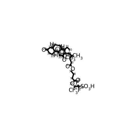 C[C@H](CCC(=O)OCCCC(=O)OC(C(F)(F)F)C(F)(F)S(=O)(=O)O)[C@H]1CC[C@H]2[C@@H]3CC[C@@H]4CC(=O)CC[C@]4(C)[C@H]3CC(=O)[C@]12C